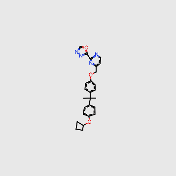 CC(C)(c1ccc(OCc2ccnc(-c3nnco3)n2)cc1)c1ccc(OC2CCC2)cc1